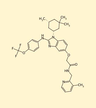 Cc1cccnc1CNC(=O)COc1ccc2c(c1)nc(Nc1ccc(OC(F)(F)F)cc1)n2[C@@H]1C[C@H](C)CC(C)(C)C1